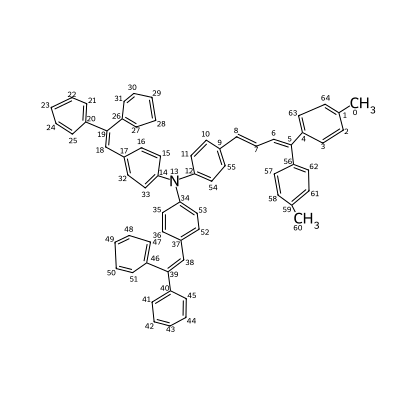 Cc1ccc(C(=CC=Cc2ccc(N(c3ccc(C=C(c4ccccc4)c4ccccc4)cc3)c3ccc(C=C(c4ccccc4)c4ccccc4)cc3)cc2)c2ccc(C)cc2)cc1